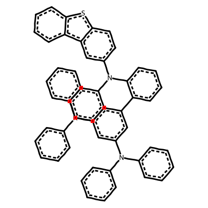 c1ccc(N(c2ccccc2)c2cc(-c3ccccc3N(c3ccccc3)c3ccc4sc5ccccc5c4c3)cc(N(c3ccccc3)c3ccccc3)c2)cc1